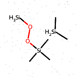 C[SiH2]C.C[Si](C)(C)OO[SiH3]